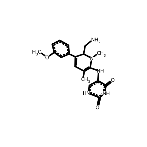 COc1cccc(C2=CC(C)=C(Nc3c[nH]c(=O)[nH]c3=O)N(C)C2CN)c1